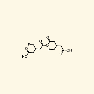 O=C(O)CC(CF)CC(=O)OC(=O)CC(CF)CC(=O)O